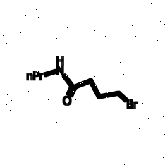 [CH2]CCNC(=O)CCCBr